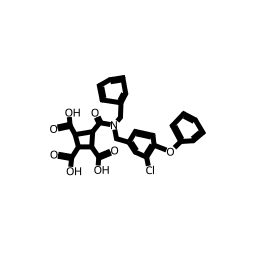 O=C(O)C1C(C(=O)O)C(C(=O)N(Cc2ccccc2)Cc2ccc(Oc3ccccc3)c(Cl)c2)C1C(=O)O